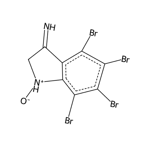 N=C1C[NH+]([O-])c2c(Br)c(Br)c(Br)c(Br)c21